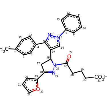 Cc1ccc(-c2nn(-c3ccccc3)cc2C2CC(c3ccco3)=NN2C(=O)CCCC(=O)O)cc1